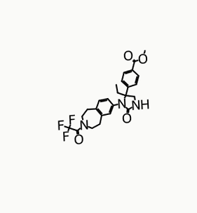 CCC1(c2ccc(C(=O)OC)cc2)CNC(=O)N1c1ccc2c(c1)CCN(C(=O)C(F)(F)F)CC2